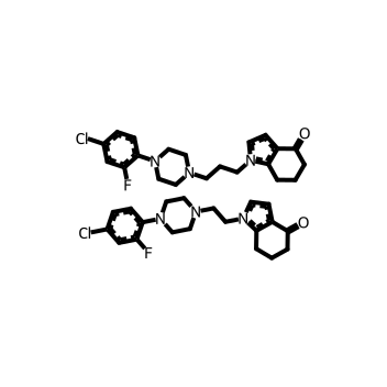 O=C1CCCc2c1ccn2CCCN1CCN(c2ccc(Cl)cc2F)CC1.O=C1CCCc2c1ccn2CCN1CCN(c2ccc(Cl)cc2F)CC1